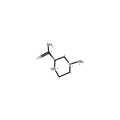 CC(C)(C)N1CCN[C@@H](C(N)=O)C1